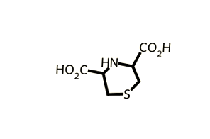 O=C(O)C1CSCC(C(=O)O)N1